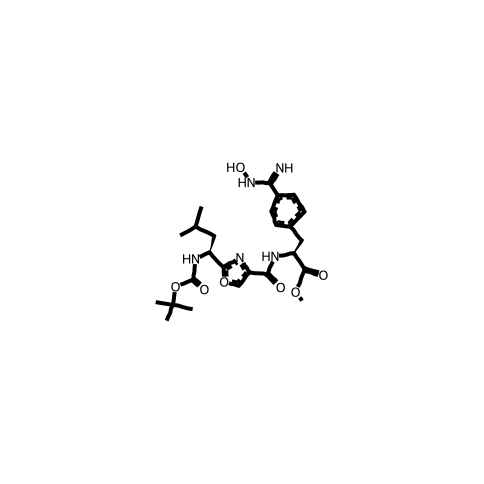 COC(=O)[C@H](Cc1ccc(C(=N)NO)cc1)NC(=O)c1coc([C@H](CC(C)C)NC(=O)OC(C)(C)C)n1